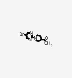 CC(=O)C1CCN(c2ncc(Br)cn2)CC1